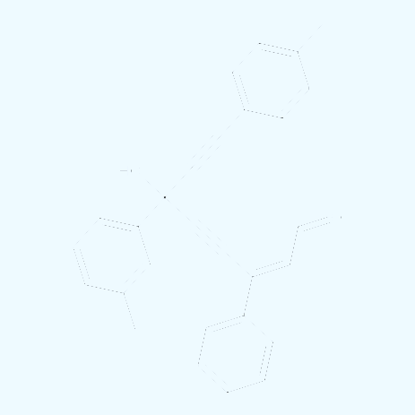 Cc1ccc(C#CC(O)(C#C/C(=C\C=O)c2ccccc2)c2cccc(C)c2)cc1